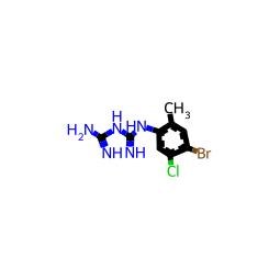 Cc1cc(Br)c(Cl)cc1NC(=N)NC(=N)N